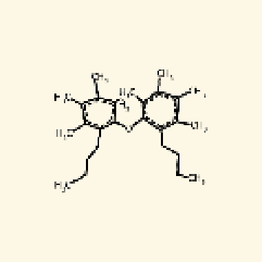 CCCCc1c(C)c(C)c(C)c(C)c1Oc1c(C)c(C)c(C)c(C)c1CCCC